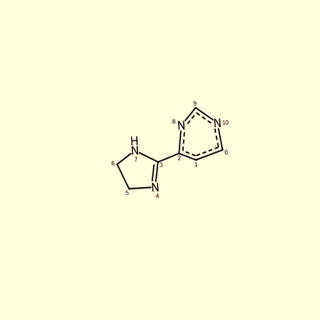 c1cc(C2=NCCN2)ncn1